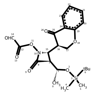 C[C@@H](O[Si](C)(C)C(C)(C)C)[C@H]1C(=O)N(OC(=O)C=O)[C@@H]1[C@@H]1COc2ccccc2C1=O